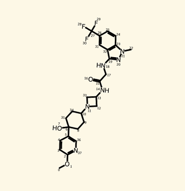 COc1ccc(C2(O)CCC(N3CC(NC(=O)CNc4nn(C)c5ccc(C(F)(F)F)cc45)C3)CC2)cn1